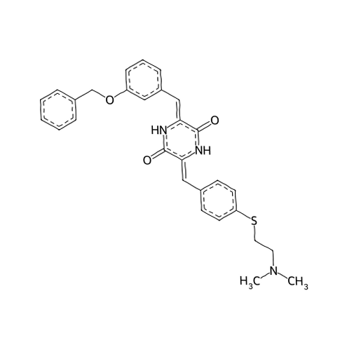 CN(C)CCSc1ccc(C=c2[nH]c(=O)c(=Cc3cccc(OCc4ccccc4)c3)[nH]c2=O)cc1